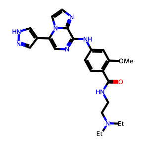 CCN(CC)CCNC(=O)c1ccc(Nc2ncc(-c3cn[nH]c3)n3ccnc23)cc1OC